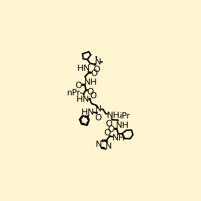 CCC[C@H](NC(=O)CCN(CCNC(=O)[C@@H](NC(=O)[C@@H](NC(=O)c1cnccn1)C1CCCCC1)C(C)C)C(=O)Nc1ccccc1)C(=O)C(=O)NCC(=O)N[C@H](C(=O)N(C)C)C1CCCC1